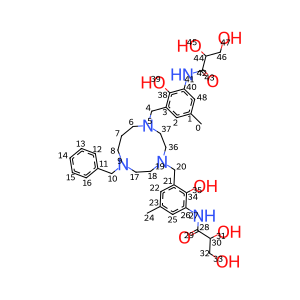 Cc1cc(CN2CCCN(Cc3ccccc3)CCN(Cc3cc(C)cc(NC(=O)C(O)CO)c3O)CC2)c(O)c(NC(=O)C(O)CO)c1